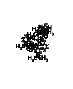 COc1c(CN2O[C@@H](CO)[C@H]([C@H](C)O)[C@H]2C(=O)N[C@H]2C[C@H]3C[C@@H]([C@@H]2C)C3(C)C)cccc1-c1cc(C(=O)N[C@@H](Cc2ccccc2)C(=O)N(C)C)cc(N(C)C)c1